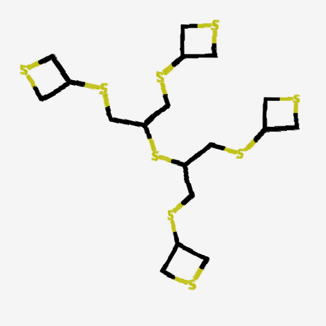 C1SCC1SCC(CSC1CSC1)SC(CSC1CSC1)CSC1CSC1